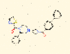 O=C(c1ccc(-c2ccccc2)cc1)N1CC(N2CCN(C(=O)c3nccs3)C(c3ccccc3)C2)C1